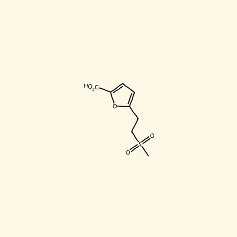 CS(=O)(=O)CCc1ccc(C(=O)O)o1